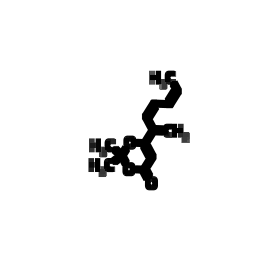 C=C(/C=C\C=C/C)C1=CC(=O)OC(C)(C)O1